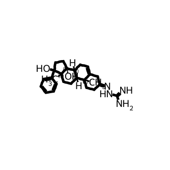 C[C@]12CCC(=NNC(=N)N)CC1=CC[C@@H]1[C@H]2CC[C@]2(C)C(O)(c3ccccc3)CC[C@@]12O